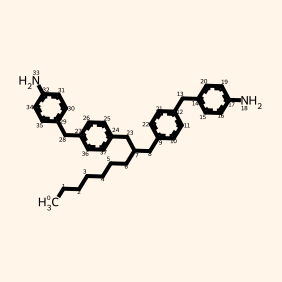 CCCCCCCC(Cc1ccc(Cc2ccc(N)cc2)cc1)Cc1ccc(Cc2ccc(N)cc2)cc1